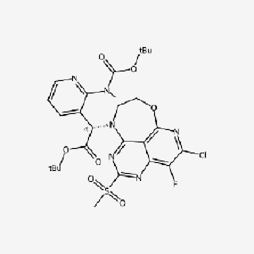 CN(C(=O)OC(C)(C)C)c1ncccc1[C@@H](C(=O)OC(C)(C)C)N1CCOc2nc(Cl)c(F)c3nc(S(C)(=O)=O)nc1c23